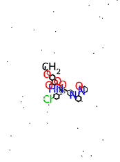 C=CCOc1ccc2oc(C(=O)N[C@H](C=C3CCN(c4ccccc4CN4CCCCC4=O)CC3)Cc3ccc(Cl)cc3)cc(=O)c2c1